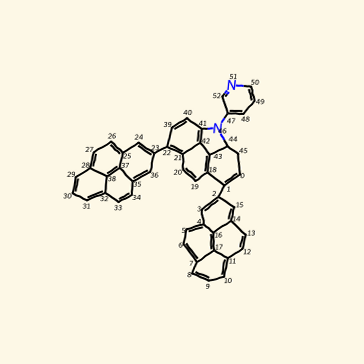 C1=C(c2cc3ccc4cccc5ccc(c2)c3c45)c2ccc3c(-c4cc5ccc6cccc7ccc(c4)c5c67)ccc4c3c2C(C1)N4c1cccnc1